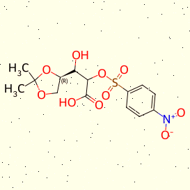 CC1(C)OC[C@H](C(O)C(OS(=O)(=O)c2ccc([N+](=O)[O-])cc2)C(=O)O)O1